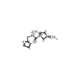 CN(Cc1ccco1)C(=O)[n+]1ccn(C)c1